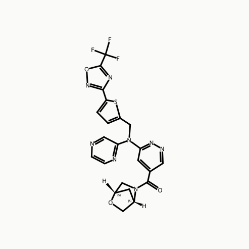 O=C(c1cnnc(N(Cc2ccc(-c3noc(C(F)(F)F)n3)s2)c2cnccn2)c1)N1C[C@@H]2C[C@H]1CO2